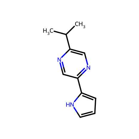 CC(C)c1cnc(-c2ccc[nH]2)cn1